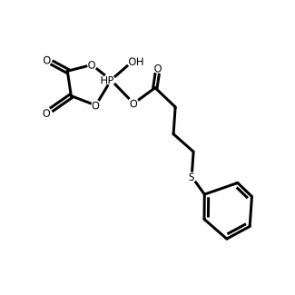 O=C(CCCSc1ccccc1)O[PH]1(O)OC(=O)C(=O)O1